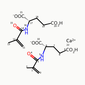 C=C(C)C(=O)N[C@@H](CCC(=O)O)C(=O)[O-].C=C(C)C(=O)N[C@@H](CCC(=O)O)C(=O)[O-].[Ca+2]